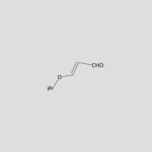 CC(C)OC=C[C]=O